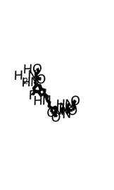 NC(CO)C(=O)Nc1cc(F)c2c(c1)CC(CNCCC1CN(c3cnc4c(n3)NC(=O)CO4)C(=O)O1)C2